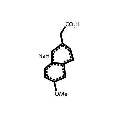 COc1ccc2cc(CC(=O)O)ccc2c1.[NaH]